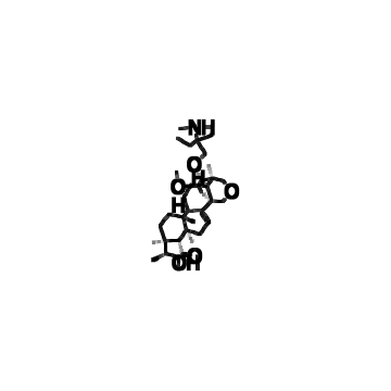 CCC(CC)(CO[C@H]1[C@H](OC)C[C@@]23COC[C@@]1(C)[C@@H]2CC[C@H]1C3=CC[C@@]2(C)[C@H](C(=O)O)[C@@](C)([C@H](C)C(C)C)CC[C@]12C)NC